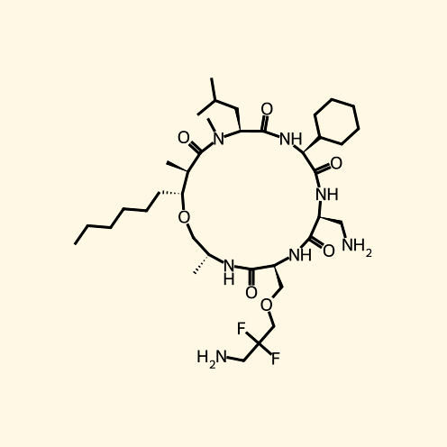 CCCCCC[C@H]1OC[C@@H](C)NC(=O)[C@H](COCC(F)(F)CN)NC(=O)[C@H](CN)NC(=O)[C@H](C2CCCCC2)NC(=O)[C@H](CC(C)C)N(C)C(=O)[C@@H]1C